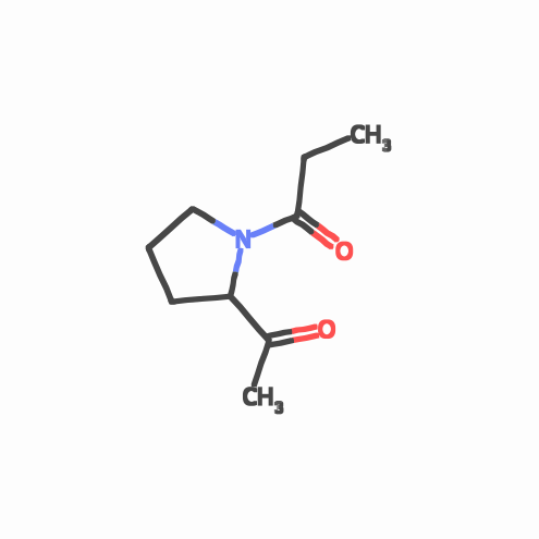 CCC(=O)N1CCCC1C(C)=O